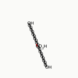 C=CC(=O)O.OCCOCCOCCOCCOCCOCCOCCOCCOCCOCCOCCOCCOCCOCCOCCOCCOCCOCCOCCOCCO